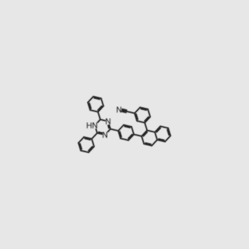 N#Cc1cccc(-c2c(-c3ccc(C4=NC(c5ccccc5)NC(c5ccccc5)=N4)cc3)ccc3ccccc23)c1